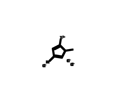 CCC1=CC(C)[C]([Ti+3])=C1.[Cl-].[Cl-].[Cl-]